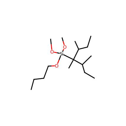 CCCCO[Si](OC)(OC)C(C)(C(C)CC)C(C)CC